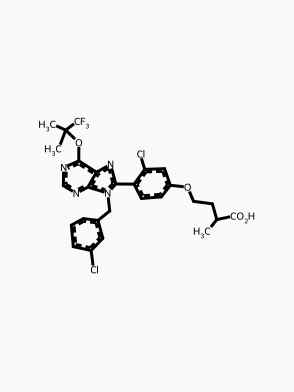 CC(CCOc1ccc(-c2nc3c(OC(C)(C)C(F)(F)F)ncnc3n2Cc2cccc(Cl)c2)c(Cl)c1)C(=O)O